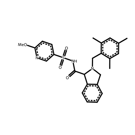 COc1ccc(S(=O)(=O)NC(=O)C2c3ccccc3CN2Cc2c(C)cc(C)cc2C)cn1